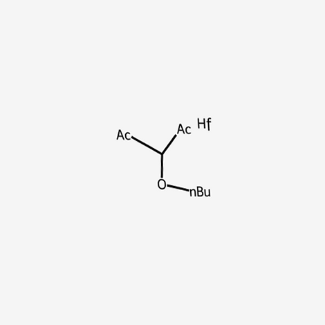 CCCCOC(C(C)=O)C(C)=O.[Hf]